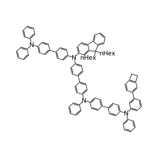 CCCCCCC1(CCCCCC)c2ccccc2-c2ccc(N(c3ccc(-c4ccc(N(c5ccccc5)c5ccccc5)cc4)cc3)c3ccc(-c4ccc(N(c5ccccc5)c5ccc(-c6ccc(N(c7ccccc7)c7cccc(-c8ccc9c(c8)CC9)c7)cc6)cc5)cc4)cc3)cc21